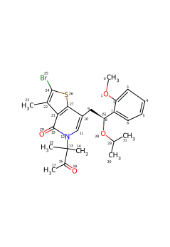 COc1ccccc1[C@H](Cc1cn(C(C)(C)C(C)=O)c(=O)c2c(C)c(Br)sc12)OC(C)C